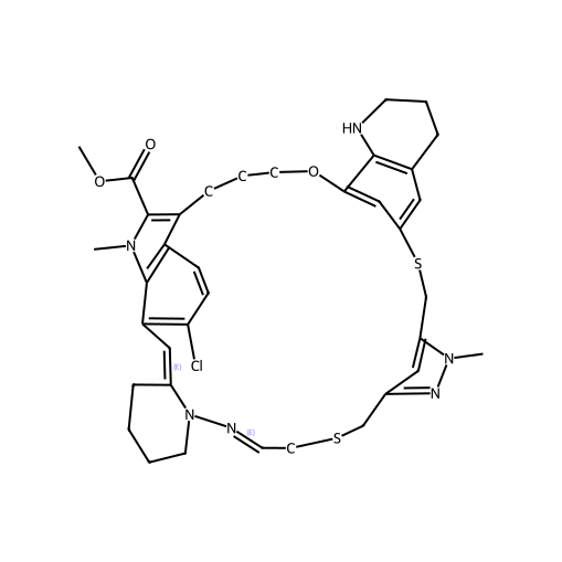 COC(=O)c1c2c3ccc(Cl)c(c3n1C)/C=C1\CCCCN1/N=C/CSCc1cc(n(C)n1)CSc1cc3c(c(c1)OCCC2)NCCC3